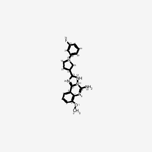 COc1cccc2c1N=C(N)N1NC(C3CCN(c4cccc(F)c4)C3)N=C21